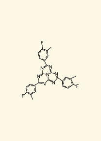 Cc1cc(C2=NC3=NC(c4ccc(F)c(C)c4)=NC4=NC(c5ccc(F)c(C)c5)=NC(=N2)N34)ccc1F